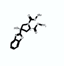 CC(C)(C)OC(=O)N1C[C@](O)(c2nc3ccccc3o2)C[C@H]1C(=O)OP